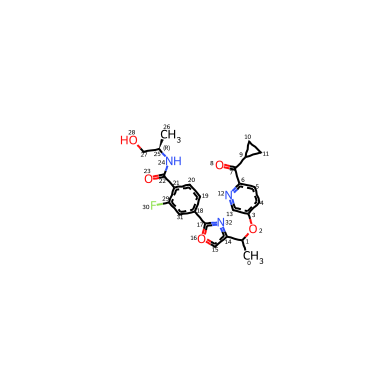 CC(Oc1ccc(C(=O)C2CC2)nc1)c1coc(-c2ccc(C(=O)N[C@H](C)CO)c(F)c2)n1